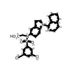 O=C(O)CN(c1ccc2c(ccn2-c2nccc3ccccc23)c1)S(=O)(=O)c1cc(Cl)cc(Cl)c1